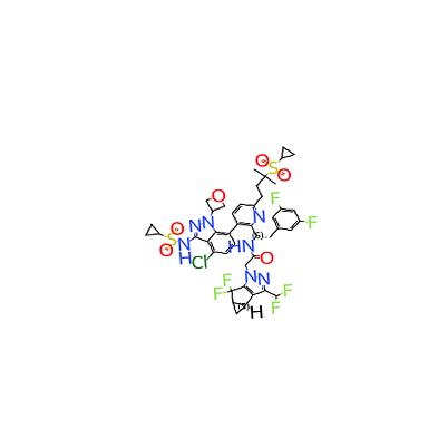 CC(C)(CCc1ccc(-c2ccc(Cl)c3c(NS(=O)(=O)C4CC4)nn(C4COC4)c23)c([C@H](Cc2cc(F)cc(F)c2)NC(=O)Cn2nc(C(F)F)c3c2C(F)(F)C2C[C@H]32)n1)S(=O)(=O)C1CC1